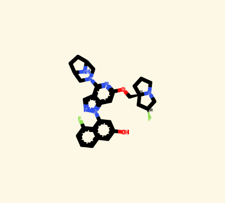 Oc1cc(-n2ncc3c(N4CC5CCC(C4)N5)nc(OC[C@@]45CCCN4C[C@H](F)C5)cc32)c2c(F)cccc2c1